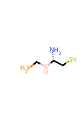 N[C@@H](BCP)CS